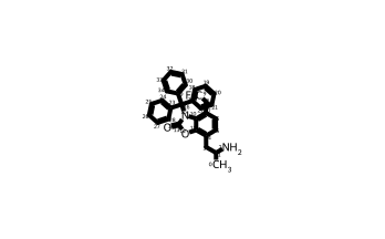 CC(N)Cc1ccc(CC(F)(F)F)c2c1oc(=O)n2C(c1ccccc1)(c1ccccc1)c1ccccc1